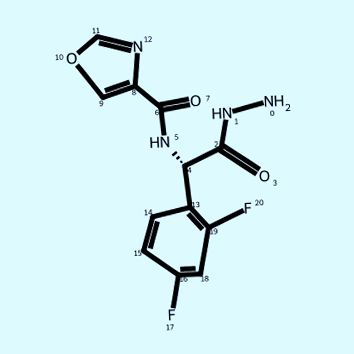 NNC(=O)[C@@H](NC(=O)c1cocn1)c1ccc(F)cc1F